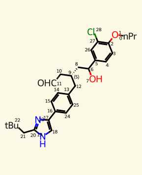 CCCOc1ccc(C(O)C[C@@H](CC=O)Cc2ccc(-c3c[nH]c(CC(C)(C)C)n3)cc2)cc1Cl